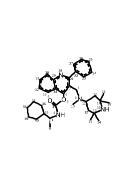 C[C@H](NC(=O)Oc1c(CN(C)C2CC(C)(C)NC(C)(C)C2)c(-c2ccccc2)nc2ccccc12)C1CCCCC1